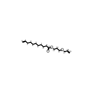 C=CCCCCCCCCC(=O)OCCCOCC=C